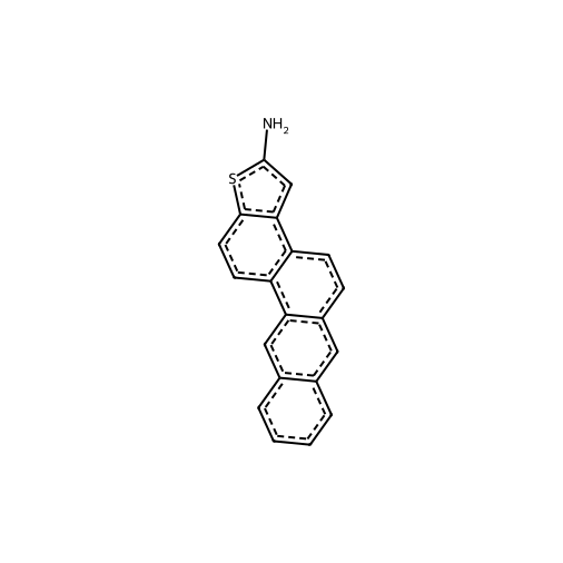 Nc1cc2c(ccc3c4cc5ccccc5cc4ccc23)s1